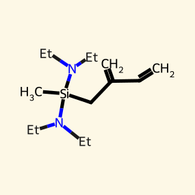 C=CC(=C)C[Si](C)(N(CC)CC)N(CC)CC